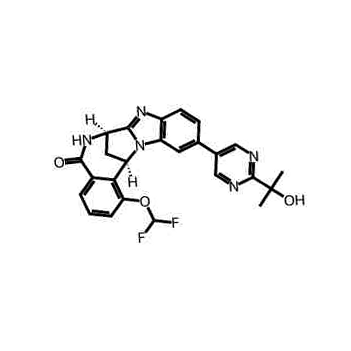 CC(C)(O)c1ncc(-c2ccc3nc4n(c3c2)[C@@H]2C[C@H]4NC(=O)c3cccc(OC(F)F)c32)cn1